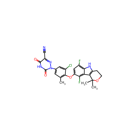 Cc1cc(-n2nc(C#N)c(=O)[nH]c2=O)cc(Cl)c1Oc1cc(F)c2[nH]c3c(c2c1F)C(C)(C)OCC3